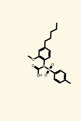 CCCCCc1ccc(N(C(=O)O)S(=O)(=O)c2ccc(C)cc2)c(OC)c1